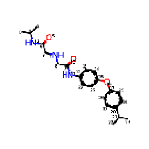 CC(C)NC(=O)CNCC(=O)Nc1ccc(Oc2ccc(C(C)C)cc2)cc1